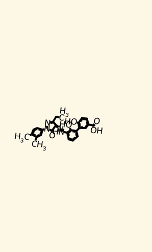 CCC1=NN(c2ccc(C)c(C)c2)C(=O)C1=NNc1cccc(-c2cc(C(=O)O)ccc2O)c1O